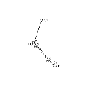 N[C@@H](CCCCNC(=O)CCOCCOCCOCCOCCNC(=O)CC[C@H](NC(=O)CCCCCCCCCCCCCCCCCCC(=O)O)C(=O)O)C(=O)O